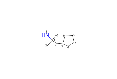 CC(C)([NH])CC1CCCC1